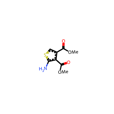 COC(=O)c1csc(N)c1C(=O)OC